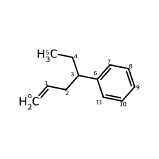 C=CCC(CC)c1ccccc1